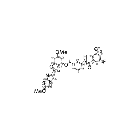 COc1cc(OCc2cccc(NC(=O)c3cc(F)cc(C(F)(F)F)c3)c2)c2cc(-c3cn4nc(OC)sc4n3)oc2c1